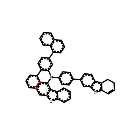 C1=Cc2oc3cc(-c4ccc(N(c5cc(-c6cccc7ccccc67)ccc5-c5ccccc5)c5cccc6oc7ccccc7c56)cc4)ccc3c2CC1